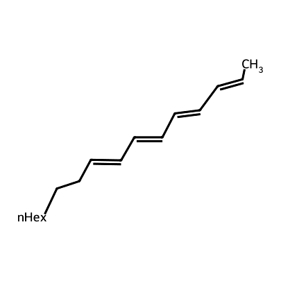 [CH2]CCCCCCCC=CC=CC=CC=CC